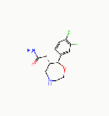 NC(=O)C[C@H]1CNCCOC1c1ccc(Cl)c(Cl)c1